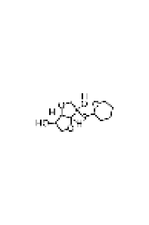 O[C@@H]1CO[C@H]2[C@@H]1OC[C@@]2(O)SC1CCCCO1